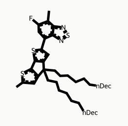 CCCCCCCCCCCCCCCCC1(CCCCCCCCCCCCCCCC)c2cc(C)sc2-c2sc(-c3cc(F)c(C)c4nsnc34)cc21